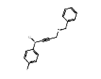 O[C@@H](C#CCOCc1ccccc1)c1ccc(F)cc1